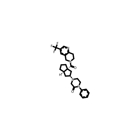 O=C1CN([C@H]2C[C@H]3CCC[C@@]3(C(=O)N3CCc4ncc(C(F)(F)F)cc4C3)C2)CCN1c1ccccc1